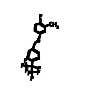 Cc1cc(SCc2ccc(C(F)(C(F)(F)F)C(F)(F)F)cc2)ccc1F